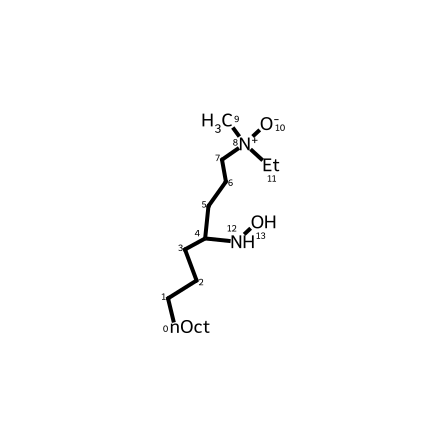 CCCCCCCCCCCC(CCC[N+](C)([O-])CC)NO